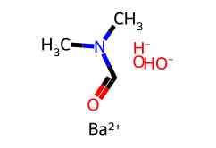 CN(C)C=O.[Ba+2].[OH-].[OH-]